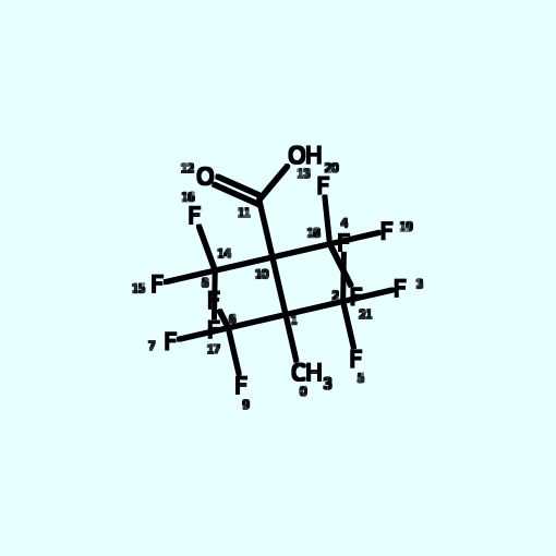 CC(C(F)(F)F)(C(F)(F)F)C(C(=O)O)(C(F)(F)F)C(F)(F)F